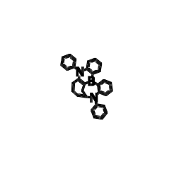 C1=CC2=C3CC(=C1)N(c1ccccc1)c1ccccc1B3c1ccccc1N2c1ccccc1